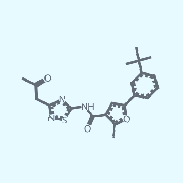 CC(=O)Cc1nsc(NC(=O)c2cc(-c3cccc(C(C)(C)C)c3)oc2C)n1